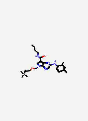 CCCCNC(=O)c1cn(COCC[Si](C)(C)C)c2ncc(Nc3ccc(C)cc3C)nc12